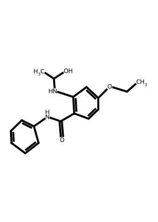 CCOc1ccc(C(=O)Nc2ccccc2)c(NC(C)O)c1